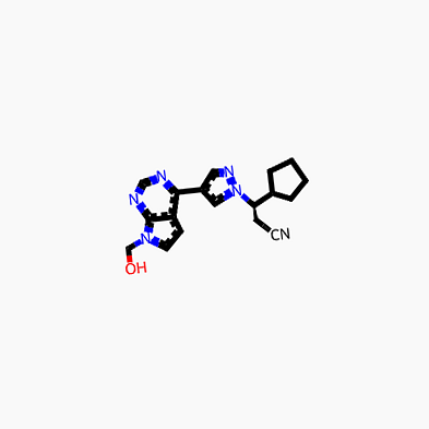 N#CC[C@H](C1CCCC1)n1cc(-c2ncnc3c2ccn3CO)cn1